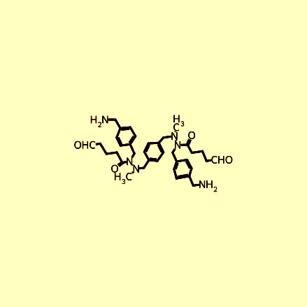 CN(Cc1ccc(CN(C)N(Cc2ccc(CN)cc2)C(=O)CCCC=O)cc1)N(Cc1ccc(CN)cc1)C(=O)CCCC=O